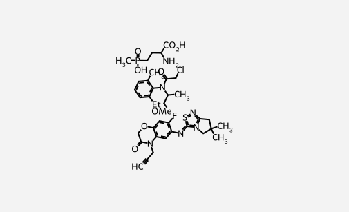 C#CCN1C(=O)COc2cc(F)c(/N=c3\snc4n3CC(C)(C)C4)cc21.CCc1cccc(C)c1N(C(=O)CCl)C(C)COC.CP(=O)(O)CCC(N)C(=O)O